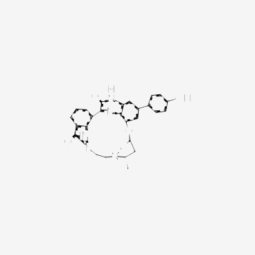 C[C@@H]1CC2CN1CCn1[nH]c3c(cccc3c1=O)-c1nc3c(cc(-c4ccc(O)cc4)cc3[nH]c1=O)O2